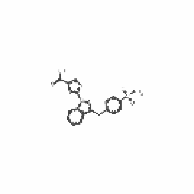 NS(=O)(=O)c1ccc(Cc2nn(-c3nc(C(=O)O)cs3)c3ccccc23)cc1